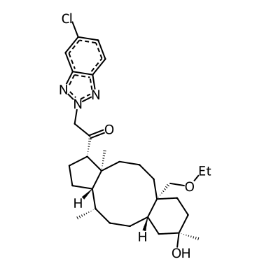 CCOC[C@@]12CCC[C@]3(C)[C@@H](C(=O)Cn4nc5ccc(Cl)cc5n4)CC[C@H]3[C@@H](C)CC[C@H]1C[C@](C)(O)CC2